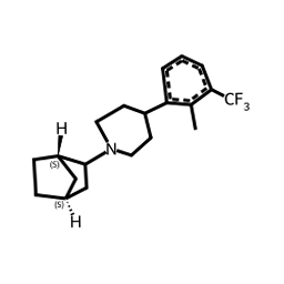 Cc1c(C2CCN(C3C[C@H]4CC[C@H]3C4)CC2)cccc1C(F)(F)F